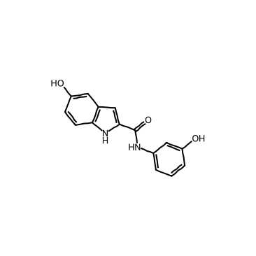 O=C(Nc1cccc(O)c1)c1cc2cc(O)ccc2[nH]1